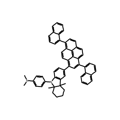 CN(C)c1ccc(N2c3ccc(-c4cc(-c5cccc6ccccc56)c5ccc6ccc(-c7cccc8ccccc78)c7ccc4c5c67)cc3C3(C)CCCCC23C)cc1